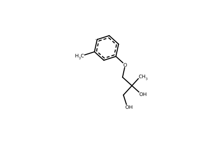 Cc1[c]ccc(OCC(C)(O)CO)c1